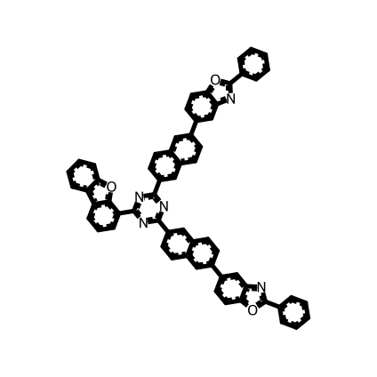 c1ccc(-c2nc3cc(-c4ccc5cc(-c6nc(-c7ccc8cc(-c9ccc%10oc(-c%11ccccc%11)nc%10c9)ccc8c7)nc(-c7cccc8c7oc7ccccc78)n6)ccc5c4)ccc3o2)cc1